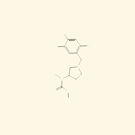 CCOC(=O)c1cc(Br)c(CN2CCC(N(C)C(=O)OC(C)(C)C)C2)cc1N